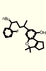 CCCCC(CCC(C)c1cc(O)c2c(c1)OC(C)(C)C1=C2CCC1)c1ccccc1F